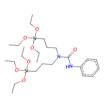 CCO[Si](CCCN(CCC[Si](OCC)(OCC)OCC)C(=O)Nc1ccccc1)(OCC)OCC